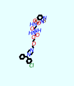 O=C(CNS(=O)(=O)c1cccc2nsnc12)NNC(=O)OCCOCCN1CCN(C(c2ccccc2)c2ccc(Cl)cc2)CC1